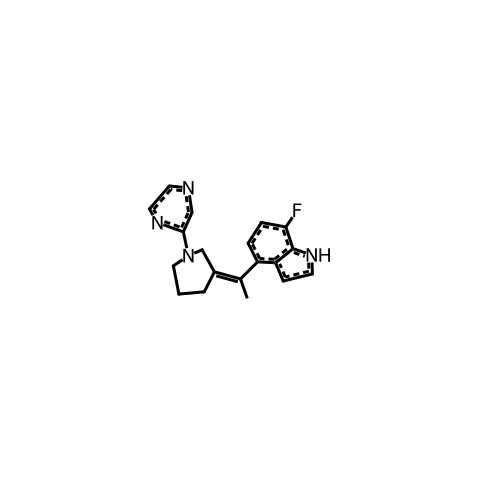 C/C(=C1\CCCN(c2cnccn2)C1)c1ccc(F)c2[nH]ccc12